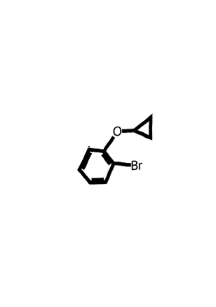 Brc1ccc[c]c1OC1CC1